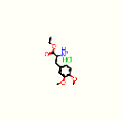 CCOC(=O)C(N)Cc1ccc(OC)c(OC)c1.Cl